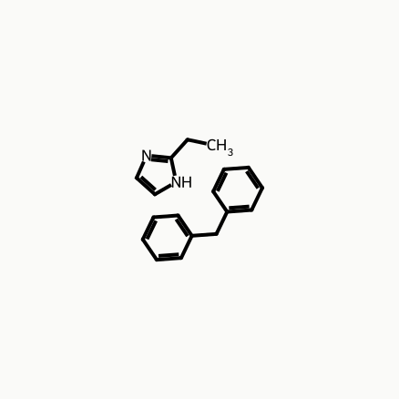 CCc1ncc[nH]1.c1ccc(Cc2ccccc2)cc1